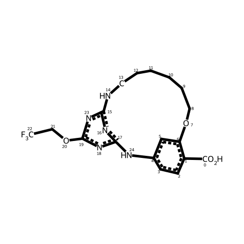 O=C(O)c1ccc2cc1OCCCCCCNc1nc(nc(OCC(F)(F)F)n1)N2